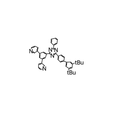 CC(C)(C)c1cc(-c2ccc(-c3nc(-c4ccccc4)nc(-c4cc(-c5cccnc5)cc(-c5cccnc5)c4)n3)cc2)cc(C(C)(C)C)c1